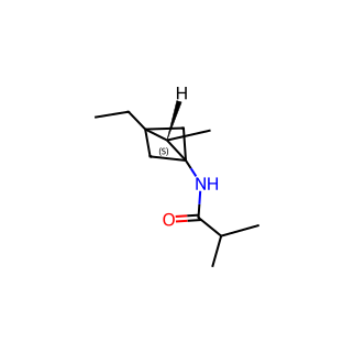 CCC12CC(NC(=O)C(C)C)(C1)[C@H]2C